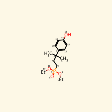 CCOP(=O)(CCC(C)(C)c1ccc(O)cc1)OCC